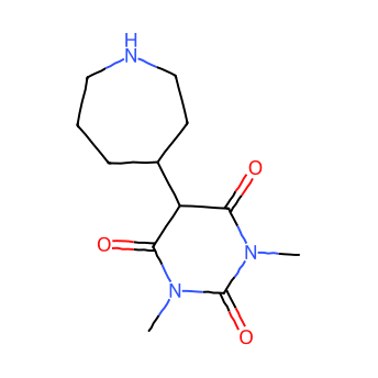 CN1C(=O)C(C2CCCNCC2)C(=O)N(C)C1=O